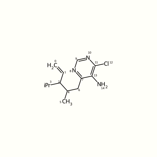 C=CC(C(C)C)C(C)Cc1ncnc(Cl)c1N